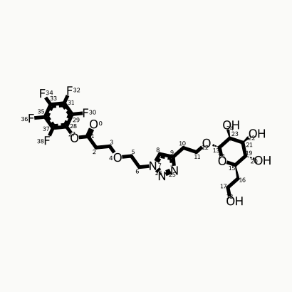 O=C(CCOCCn1cc(CCO[C@H]2O[C@H](CCO)[C@@H](O)[C@H](O)[C@@H]2O)nn1)Oc1c(F)c(F)c(F)c(F)c1F